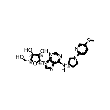 CSc1ccc(N2CC[C@H](Nc3ncnc4c3ncn4[C@@H]3O[C@H](CO)[C@@H](O)[C@H]3O)C2)nc1